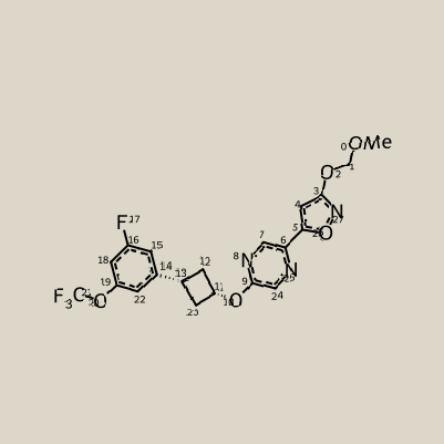 COCOc1cc(-c2cnc(O[C@H]3C[C@@H](c4cc(F)cc(OC(F)(F)F)c4)C3)cn2)on1